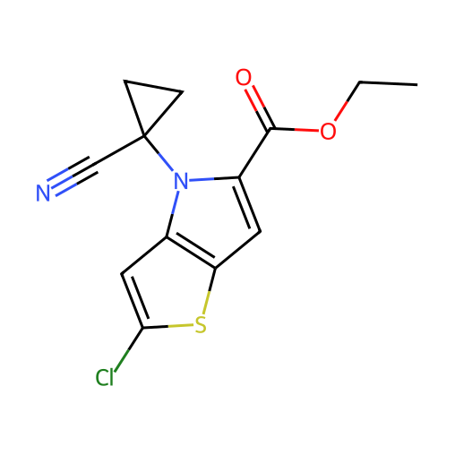 CCOC(=O)c1cc2sc(Cl)cc2n1C1(C#N)CC1